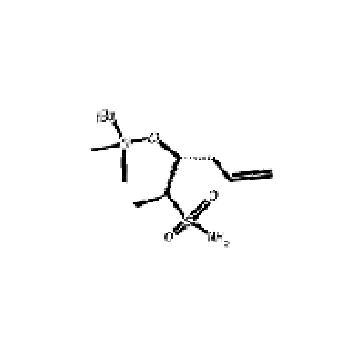 C=CC[C@@H](O[Si](C)(C)C(C)(C)C)[C@H](C)S(N)(=O)=O